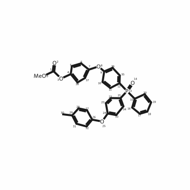 COC(=O)Oc1ccc(Oc2ccc(P(=O)(c3ccccc3)c3ccc(Oc4ccc(C)cc4)cc3)cc2)cc1